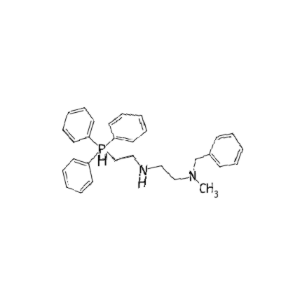 CN(CCNCC[PH](c1ccccc1)(c1ccccc1)c1ccccc1)Cc1ccccc1